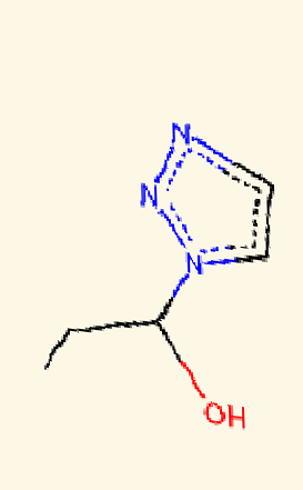 CCC(O)n1ccnn1